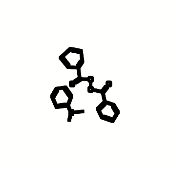 CN(C)c1ccccc1.O=C(OOC(=O)c1ccccc1)c1ccccc1